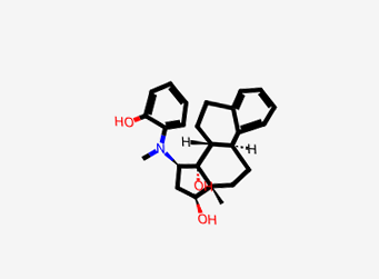 CN(c1ccccc1O)[C@@H]1C[C@H](O)[C@@]2(C)CC[C@@H]3c4ccccc4CC[C@H]3[C@]12O